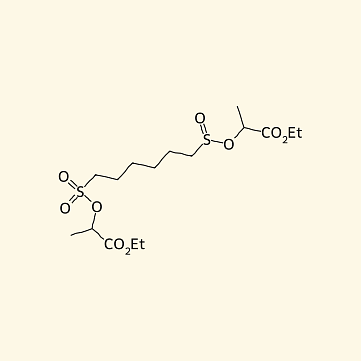 CCOC(=O)C(C)OS(=O)CCCCCCS(=O)(=O)OC(C)C(=O)OCC